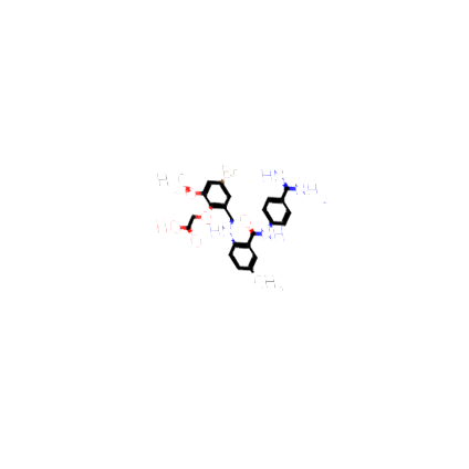 COc1cc(Br)cc(CNc2ccc(C)cc2C(=O)Nc2ccc(C(=N)N)cc2)c1OCC(=O)O